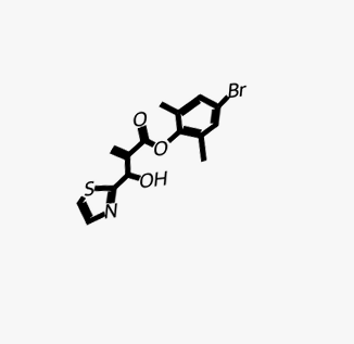 C=C(C(=O)Oc1c(C)cc(Br)cc1C)C(O)c1nccs1